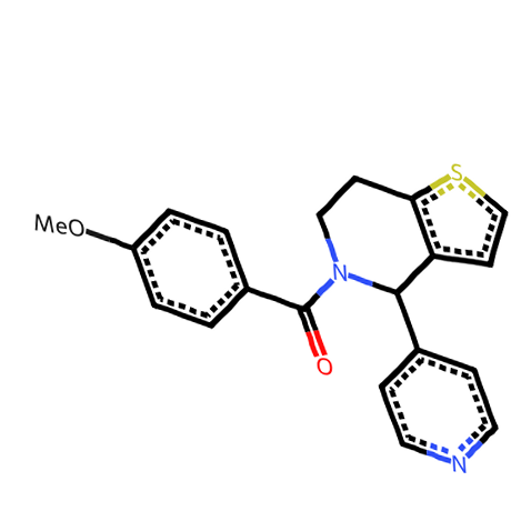 COc1ccc(C(=O)N2CCc3sccc3C2c2ccncc2)cc1